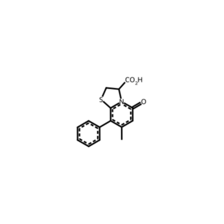 Cc1cc(=O)n2c(c1-c1ccccc1)SCC2C(=O)O